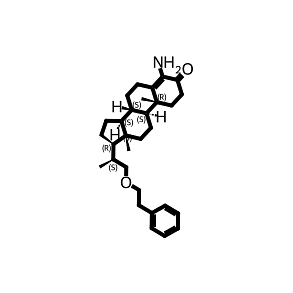 C[C@H](COCCc1ccccc1)[C@H]1CC[C@H]2[C@@H]3CCC4=C(N)C(=O)CC[C@]4(C)[C@H]3CC[C@]12C